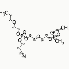 CCCOCCOP(=O)(OCCC#N)OCCOCCOP(C)(=O)OCC